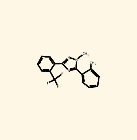 Cc1ccccc1-c1nc(-c2ccccc2C(F)(F)F)nn1C